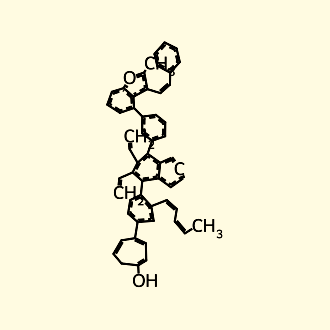 C=Cc1c(C=C)c(-c2ccc(C3=CC=C(O)CC=C3)cc2/C=C\C=C/C)c2ccccc2c1-c1cccc(-c2cccc3oc(C)c(/C=C\c4ccccc4)c23)c1